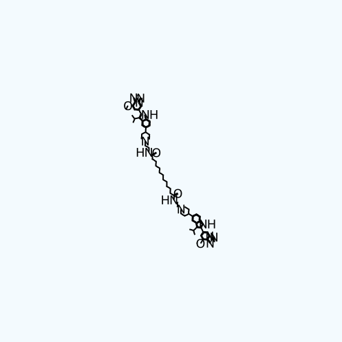 COc1cc(-c2[nH]c3ccc(C4CCN(CCNC(=O)CCCCCCCCCCCC(=O)NCCN5CCC(c6ccc7[nH]c(-c8cc(OC)c9ncnn9c8)c(C(C)C)c7c6)CC5)CC4)cc3c2C(C)C)cn2ncnc12